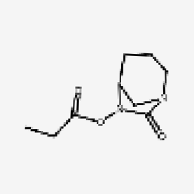 CCC(=O)ON1C(=O)N2CCCC1C2